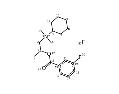 CC(C[N+](C)(C)C1CCCCC1)OC(=O)c1cccc(F)c1.[I-]